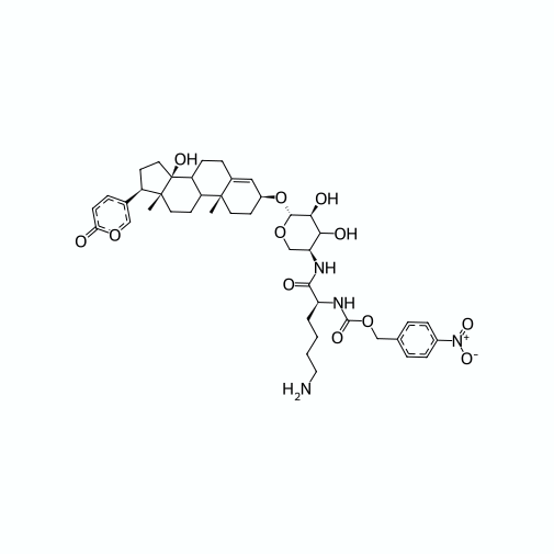 C[C@]12CC[C@H](O[C@H]3OC[C@H](NC(=O)[C@H](CCCCN)NC(=O)OCc4ccc([N+](=O)[O-])cc4)C(O)[C@@H]3O)C=C1CCC1C2CC[C@]2(C)[C@@H](c3ccc(=O)oc3)CC[C@]12O